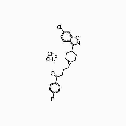 C=C.O=C(CCCN1CCC(c2noc3cc(Cl)ccc23)CC1)c1ccc(F)cc1